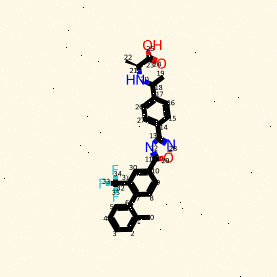 Cc1ccccc1-c1ccc(-c2nc(-c3ccc(C(C)N[C@@H](C)C(=O)O)cc3)no2)cc1C(F)(F)F